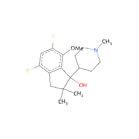 COc1c(F)cc(F)c2c1C(O)(C1CCN(C)CC1)C(C)(C)C2